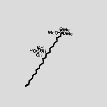 C=CCCCCCCCCCCCCCCCCCC[Si](OC)(OC)OC.O[Si](O)(O)O